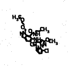 CCCNC(=O)c1c(NC(=O)c2cc(OC)nn2-c2ncccc2Cl)c(C)cc2cnn(COCCOC)c12